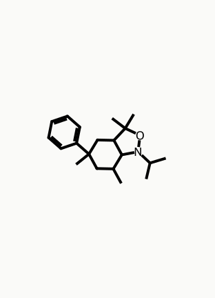 CC1CC(C)(c2ccccc2)CC2C1N(C(C)C)OC2(C)C